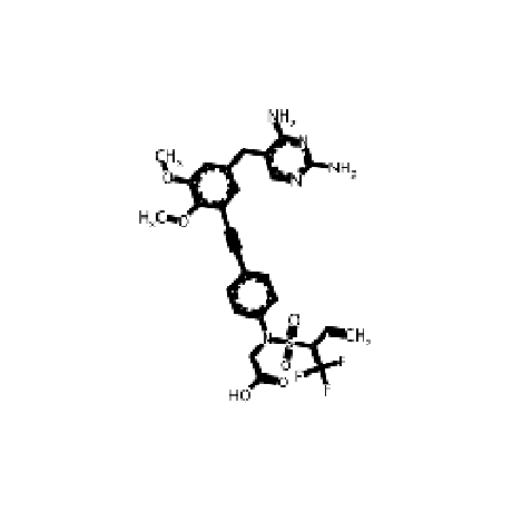 C=CC(C(F)(F)F)S(=O)(=O)N(CC(=O)O)c1ccc(C#Cc2cc(Cc3cnc(N)nc3N)cc(OC)c2OC)cc1